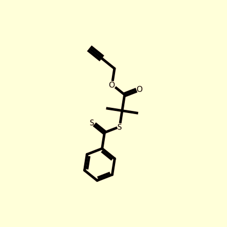 C#CCOC(=O)C(C)(C)SC(=S)c1ccccc1